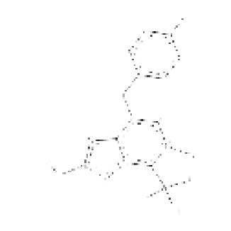 CC1(C)CNc2cc(Cc3ccc(F)cc3)c3nc(CO)cn3c21